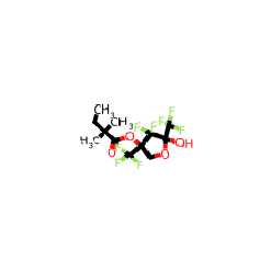 CCC(C)(C)C(=O)OC1(C(F)(F)F)COC(O)(C(F)(F)F)C1(F)F